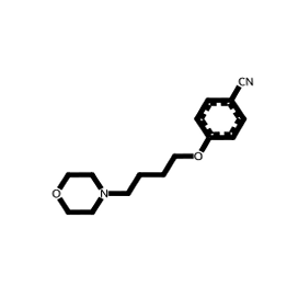 N#Cc1ccc(OCCCCN2CCOCC2)cc1